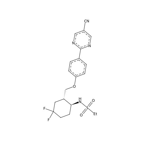 CCS(=O)(=O)N[C@H]1CCC(F)(F)C[C@@H]1COc1ccc(-c2ncc(C#N)cn2)cc1